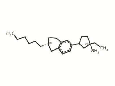 CCCCCC[C@@H]1CCc2cc(C3CC[C@](N)(CC)C3)ccc2C1